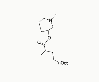 CCCCCCCCCCC(C)C(=O)OC1CCCN(C)C1